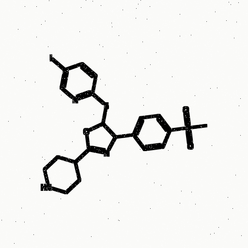 CS(=O)(=O)c1ccc(C2N=C(C3CCNCC3)OC2Sc2ccc(I)cn2)cc1